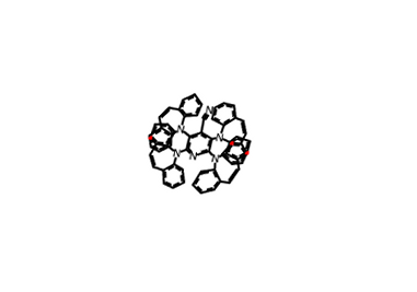 N#Cc1c(N2c3ccccc3C=Cc3ccccc32)c(N2c3ccccc3C=Cc3ccccc32)nc(N2c3ccccc3C=Cc3ccccc32)c1N1c2ccccc2C=Cc2ccccc21